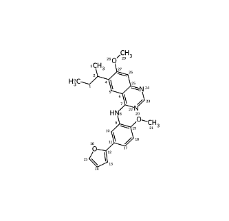 CCC(C)c1cc2c(Nc3cc(-c4ccco4)ccc3OC)ncnc2cc1OC